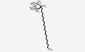 CCCCCCCCCCCCCCCCCCCC1(C)C[Si](C)(C)[Si](C)(C)[Si](C)(C)O1